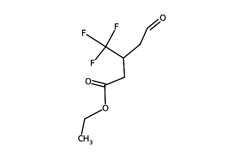 CCOC(=O)CC(CC=O)C(F)(F)F